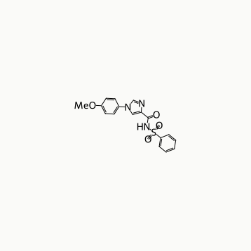 COc1ccc(-n2cnc(C(=O)NS(=O)(=O)c3ccccc3)c2)cc1